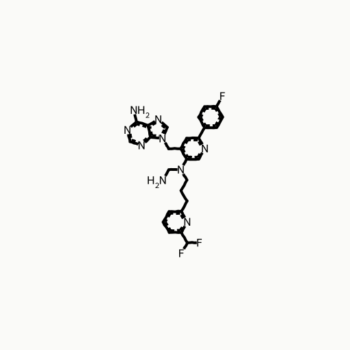 NCN(CCCc1cccc(C(F)F)n1)c1cnc(-c2ccc(F)cc2)cc1Cn1cnc2c(N)ncnc21